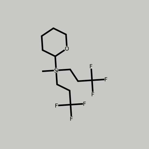 C[Si](CCC(F)(F)F)(CCC(F)(F)F)C1CCCCO1